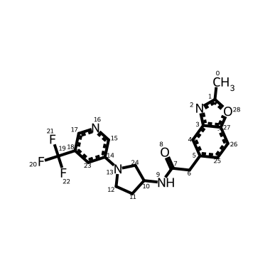 Cc1nc2cc(CC(=O)NC3CCN(c4cncc(C(F)(F)F)c4)C3)ccc2o1